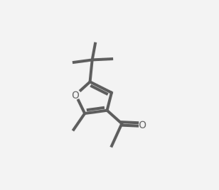 CC(=O)c1cc(C(C)(C)C)oc1C